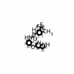 Cc1ccc(NC(=O)Nc2cccc(Oc3cnc4[nH]ccc4c3)c2)cc1C(F)(F)F